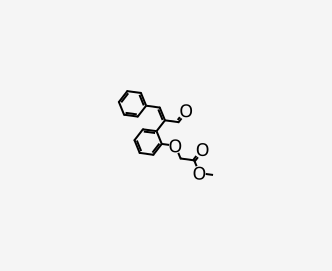 COC(=O)COc1ccccc1/C(C=O)=C\c1ccccc1